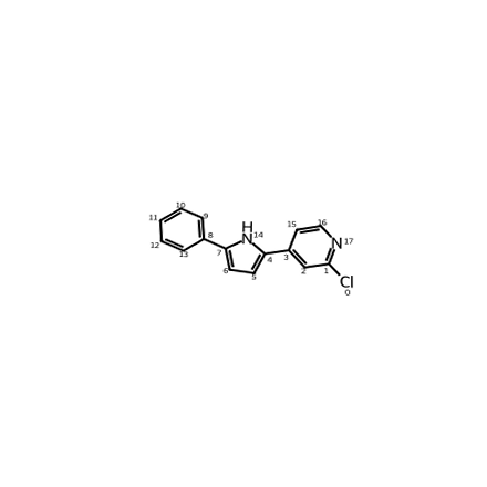 Clc1cc(-c2ccc(-c3ccccc3)[nH]2)ccn1